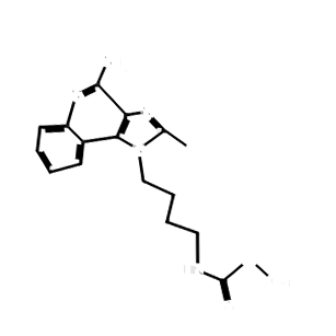 Cc1nc2c(N)nc3ccccc3c2n1CCCCNC(=O)OC(C)(C)C